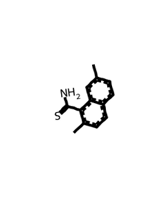 Cc1ccc2ccc(C)c(C(N)=S)c2c1